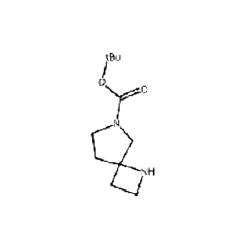 CC(C)(C)OC(=O)N1CCC2(CCN2)C1